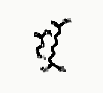 CC(C)CCCCCCC(=O)O.CCOC(C)=O